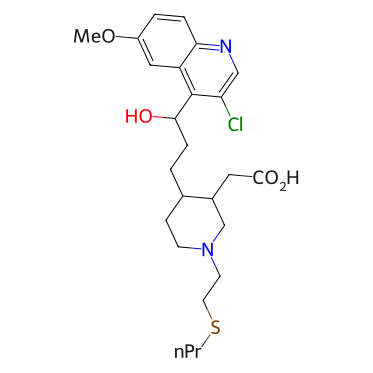 CCCSCCN1CCC(CCC(O)c2c(Cl)cnc3ccc(OC)cc23)C(CC(=O)O)C1